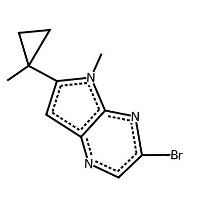 Cn1c(C2(C)CC2)cc2ncc(Br)nc21